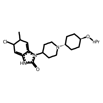 CCCO[C@H]1CC[C@H](N2CCC(n3c(=O)[nH]c4c3=CC(C)C(Cl)C=4)CC2)CC1